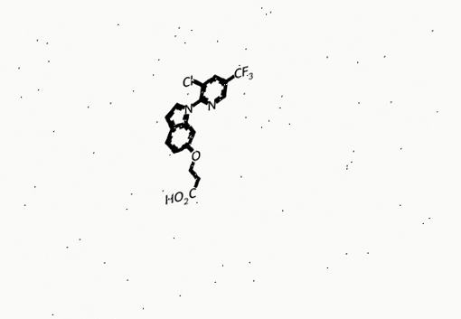 O=C(O)CCOc1ccc2ccn(-c3ncc(C(F)(F)F)cc3Cl)c2c1